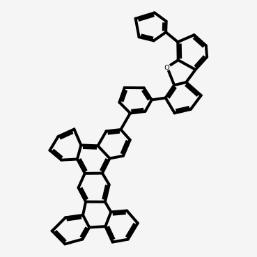 c1ccc(-c2cccc3c2oc2c(-c4cccc(-c5ccc6c(c5)c5ccccc5c5cc7c8ccccc8c8ccccc8c7cc65)c4)cccc23)cc1